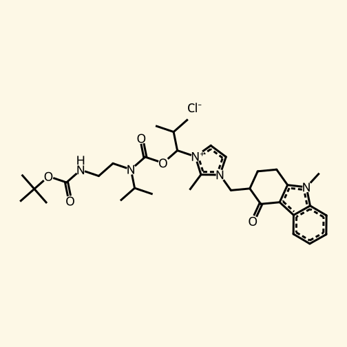 Cc1n(CC2CCc3c(c4ccccc4n3C)C2=O)cc[n+]1C(OC(=O)N(CCNC(=O)OC(C)(C)C)C(C)C)C(C)C.[Cl-]